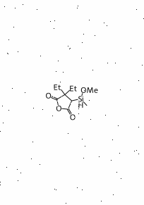 CCC1(CC)C(=O)OC(=O)C1[SiH](C)OC